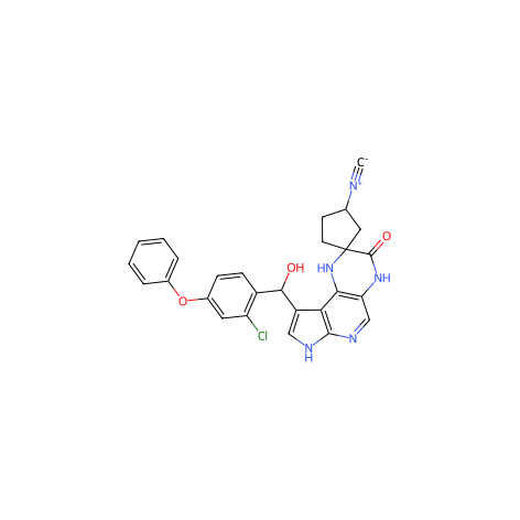 [C-]#[N+]C1CCC2(C1)Nc1c(cnc3[nH]cc(C(O)c4ccc(Oc5ccccc5)cc4Cl)c13)NC2=O